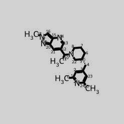 Cc1cc(C[C@H]2CCCN(C(C)c3cnc4cn(C)nc4c3)C2)cc(C)n1